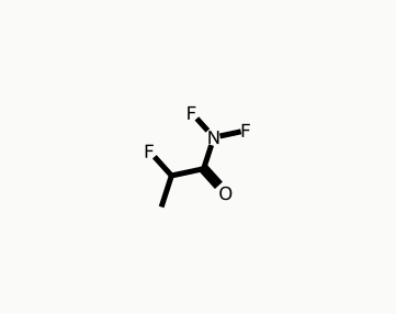 CC(F)C(=O)N(F)F